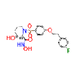 C[C@]1(O)CCCN(S(=O)(=O)c2ccc(OCCc3ccc(F)cc3)cc2)[C@H]1C(=O)NO